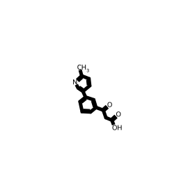 Cc1ccc(-c2cccc(C(=O)CC(=O)O)c2)cn1